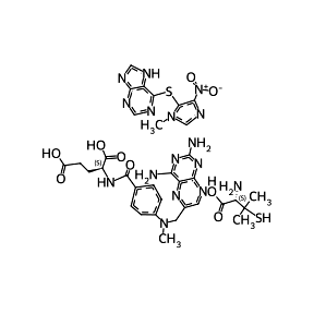 CC(C)(S)[C@@H](N)C(=O)O.CN(Cc1cnc2nc(N)nc(N)c2n1)c1ccc(C(=O)N[C@@H](CCC(=O)O)C(=O)O)cc1.Cn1cnc([N+](=O)[O-])c1Sc1ncnc2nc[nH]c12